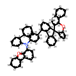 c1ccc(-c2ccccc2N(c2ccc(-c3cccc4c3-c3ccccc3C43c4ccccc4Oc4c3ccc3ccccc43)cc2)c2cccc3c2oc2ccccc23)cc1